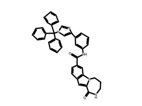 O=C(Nc1cccc(-c2cn(C(c3ccccc3)(c3ccccc3)c3ccccc3)cn2)c1)c1ccc2cc3n(c2c1)CCCNC3=O